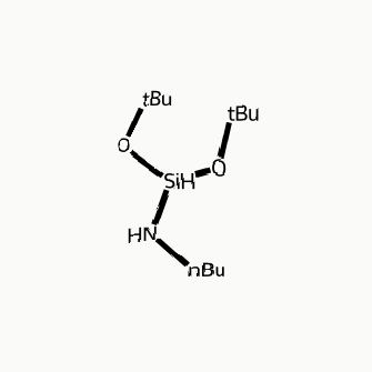 CCCCN[SiH](OC(C)(C)C)OC(C)(C)C